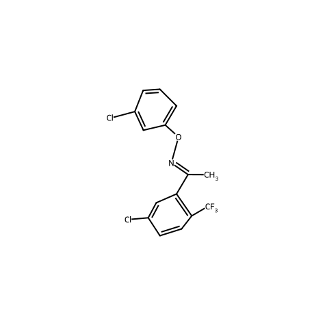 C/C(=N\Oc1cccc(Cl)c1)c1cc(Cl)ccc1C(F)(F)F